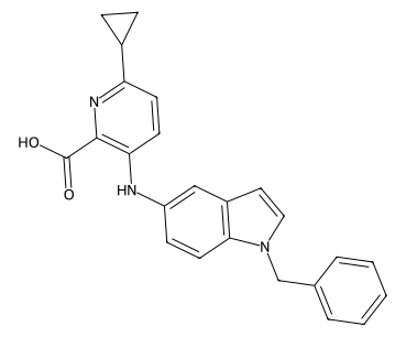 O=C(O)c1nc(C2CC2)ccc1Nc1ccc2c(ccn2Cc2ccccc2)c1